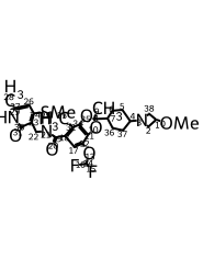 COC1CN(C2CCC(C3(C)Oc4c(OC(F)F)cc(C(=O)NCc5c(SC)cc(C)[nH]c5=O)c(C)c4O3)CC2)C1